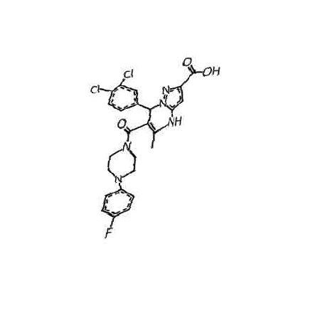 CC1=C(C(=O)N2CCN(c3ccc(F)cc3)CC2)C(c2ccc(Cl)c(Cl)c2)n2nc(C(=O)O)cc2N1